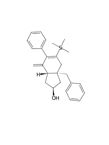 C=C1C(c2ccccc2)=C([Si](C)(C)C)C[C@@]2(Cc3ccccc3)C[C@@H](O)C[C@H]12